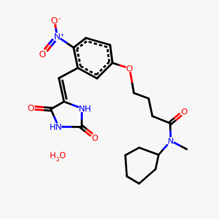 CN(C(=O)CCCOc1ccc([N+](=O)[O-])c(C=C2NC(=O)NC2=O)c1)C1CCCCC1.O